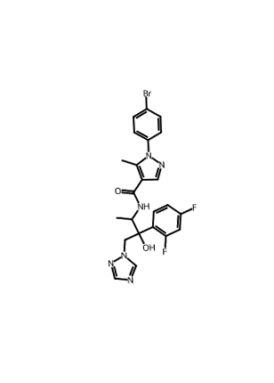 Cc1c(C(=O)NC(C)C(O)(Cn2cncn2)c2ccc(F)cc2F)cnn1-c1ccc(Br)cc1